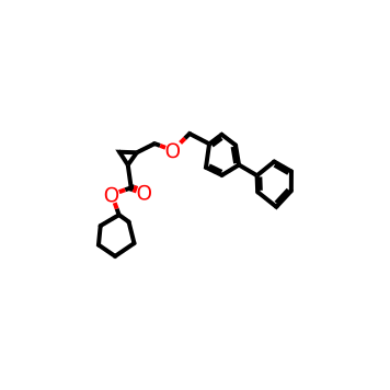 O=C(OC1CCCCC1)C1CC1COCc1ccc(-c2ccccc2)cc1